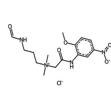 COc1ccc([N+](=O)[O-])cc1NC(=O)C[N+](C)(C)CCCNC=O.[Cl-]